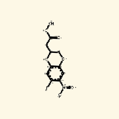 COC(=O)CC1COc2cc([N+](=O)[O-])c(F)cc2O1